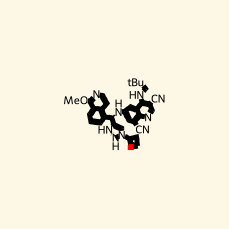 COc1nccc2c([C@H](Nc3cc(C#N)c4ncc(C#N)c(NCC(C)(C)C)c4c3)C3=CN(C45CC(C4)C5)NN3)cccc12